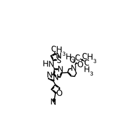 Cc1cc(Nc2nc(C3=CCCN(C(=O)OC(C)(C)C)C3)cn3c(-c4coc(C#N)c4)cnc23)sn1